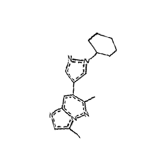 Cc1nn2c(C)cnc2cc1-c1cnn(C2CCCCC2)c1